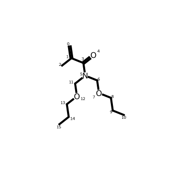 C=C(C)C(=O)N(COCCC)COCCC